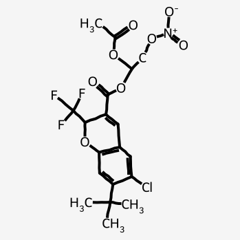 CC(=O)OC(CO[N+](=O)[O-])OC(=O)C1=Cc2cc(Cl)c(C(C)(C)C)cc2OC1C(F)(F)F